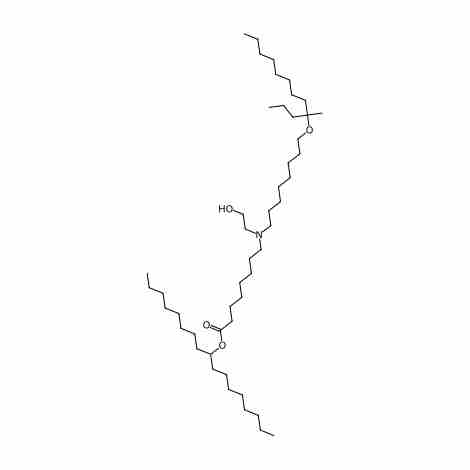 CCCCCCCCC(CCCCCCCC)OC(=O)CCCCCCCN(CCO)CCCCCCCCOC(C)(CCC)CCCCCCCC